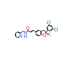 O=C(/C=C/c1ccc2c(c1)CC(c1cc(Cl)cc(Cl)c1)(C(F)(F)F)O2)NCc1ccccn1